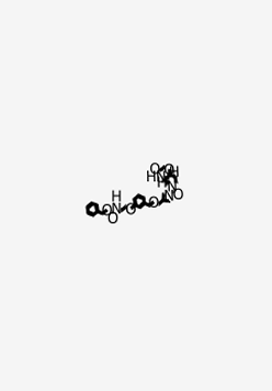 O=C1CO[C@H]2CCN(C(=O)N3CC(COCc4cccc(OCCNC(=O)OCc5ccccc5)c4)C3)C[C@H]2N1